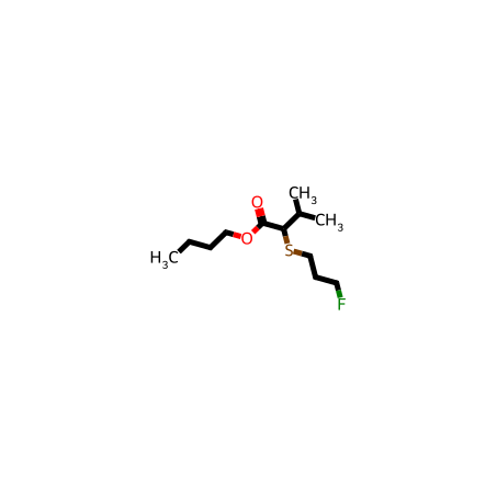 CCCCOC(=O)C(SCCCF)C(C)C